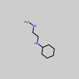 CNCCNC1CCCCC1